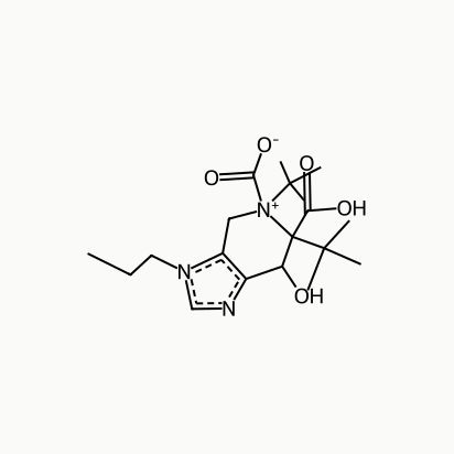 CCCn1cnc2c1C[N+](C(=O)[O-])(C(C)(C)C)C(C(=O)O)(C(C)(C)C)C2O